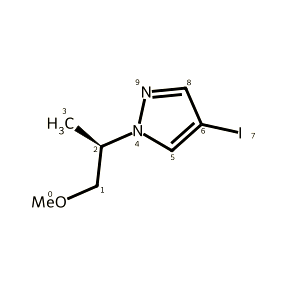 COC[C@@H](C)n1cc(I)cn1